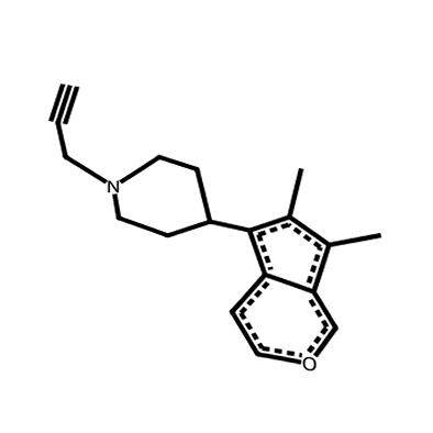 C#CCN1CCC(c2c3ccocc-3c(C)c2C)CC1